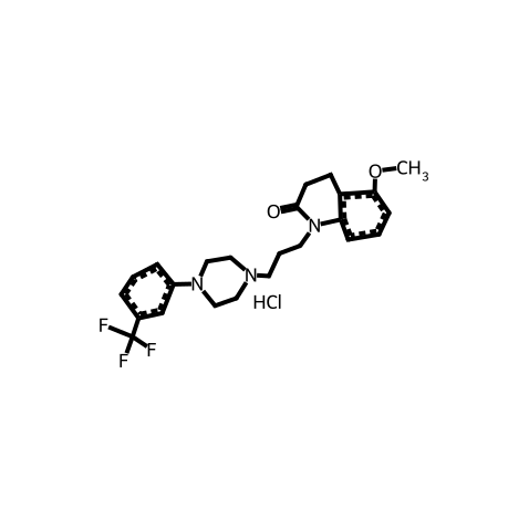 COc1cccc2c1CCC(=O)N2CCCN1CCN(c2cccc(C(F)(F)F)c2)CC1.Cl